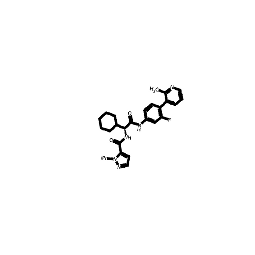 Cc1ncccc1-c1ccc(NC(=O)[C@@H](NC(=O)c2ccnn2C(C)C)C2CCCCC2)cc1F